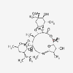 CC[C@H]1OC(=O)[C@H](C)[C@@H](O[C@H]2C[C@@](C)(OC)[C@@H](O)[C@H](C)O2)[C@H](C)[C@@H](O[C@@H]2O[C@H](C)C[C@H](N(C)C)[C@H]2O)C(C)(O)C[C@@H](C)/N=C2\O[C@]1(C)[C@H](O)[C@H]2C